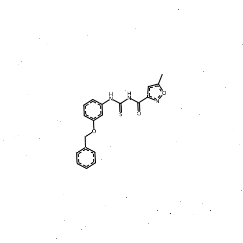 Cc1cc(C(=O)NC(=S)Nc2cccc(OCc3ccccc3)c2)no1